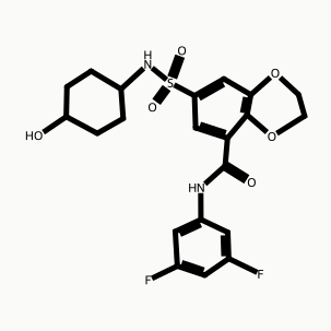 O=C(Nc1cc(F)cc(F)c1)c1cc(S(=O)(=O)NC2CCC(O)CC2)cc2c1OCCO2